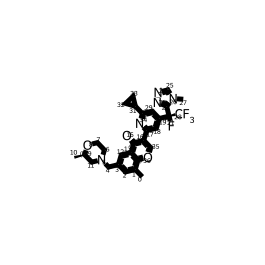 Cc1cc(CN2CCO[C@H](C)C2)cc2c(=O)c(-c3cc([C@@](F)(c4nncn4C)C(F)(F)F)cc(C4CC4)n3)coc12